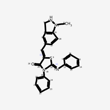 CN1NCc2cc(/C=C3\S/C(=N\c4ccccc4)N(c4ccccc4)C3=O)ccc21